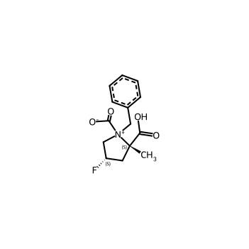 C[C@@]1(C(=O)O)C[C@H](F)C[N+]1(Cc1ccccc1)C(=O)[O-]